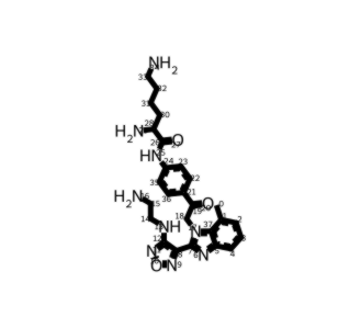 Cc1cccc2nc(-c3nonc3NCCN)n(CC(=O)c3ccc(NC(=O)C(N)CCCCN)cc3)c12